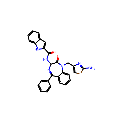 Nc1nc(CN2C(=O)C(NC(=O)c3cc4ccccc4[nH]3)N=C(c3ccccc3)c3ccccc32)cs1